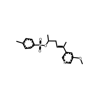 COc1cncc(C(C)=CCC(C)OS(=O)(=O)c2ccc(C)cc2)c1